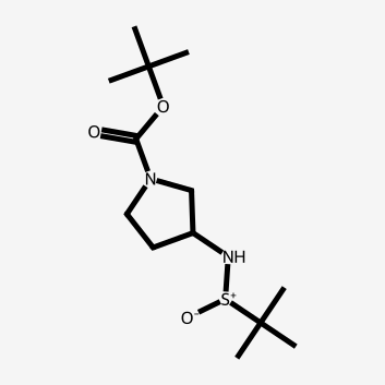 CC(C)(C)OC(=O)N1CCC(N[S+]([O-])C(C)(C)C)C1